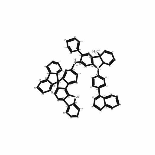 CC12C=CC=CC1N(c1ccc(-c3cccc4ccccc34)cc1)c1cc(Nc3ccc4c(c3)C3(c5ccccc5-c5ccccc53)c3ccc5c(sc6ccccc65)c3-4)c(-c3ccccc3)cc12